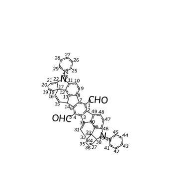 O=Cc1c2c(c(C=O)c3c1-c1ccc4c5c1C3C=CC51C=CCC=C1N4c1ccccc1)C1=CCC34C=CC=CC3N(c3ccccc3)c3ccc-2c1c34